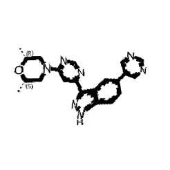 C[C@@H]1CN(c2cc(-c3n[nH]c4ccc(-c5cncnc5)cc34)ncn2)C[C@H](C)O1